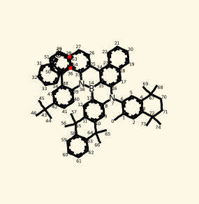 Cc1cc2c(cc1N1c3cc4c(cc3B3c5c1cc1ccccc1c5-c1ccc5oc6ccccc6c5c1N3c1ccc(C(C)(C)C)cc1-c1ccccc1)C(C)(C)c1ccccc1C4(C)C)C(C)(C)CCC2(C)C